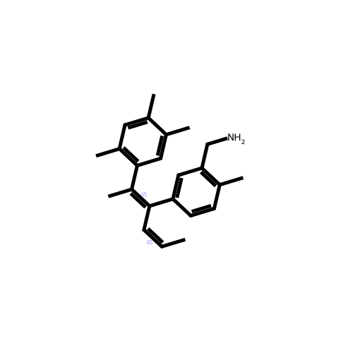 C/C=C\C(=C(/C)c1cc(C)c(C)cc1C)c1ccc(C)c(CN)c1